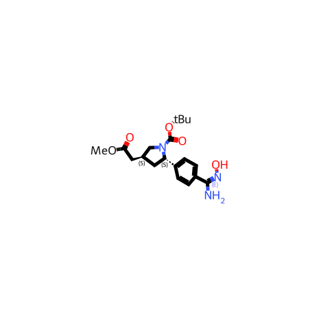 COC(=O)C[C@@H]1C[C@@H](c2ccc(/C(N)=N\O)cc2)N(C(=O)OC(C)(C)C)C1